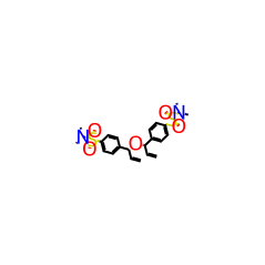 C=CC(OC(C=C)c1ccc(S(=O)(=O)N(C)C)cc1)c1ccc(S(=O)(=O)N(C)C)cc1